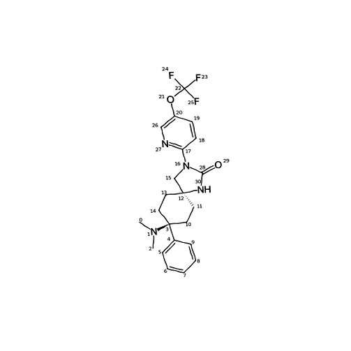 CN(C)[C@]1(c2ccccc2)CC[C@]2(CC1)CN(c1ccc(OC(F)(F)F)cn1)C(=O)N2